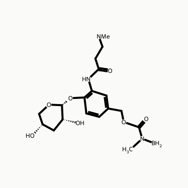 BN(C)C(=O)OCc1ccc(O[C@H]2OC[C@@H](O)C[C@H]2O)c(NC(=O)CCNC)c1